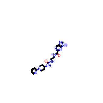 O=C(NCCNC(=O)c1ncc2nc[nH]c2n1)NC1CCN(c2ccccn2)CC1